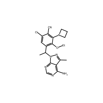 CCOc1c(C(C)n2nc(C)c3c(N)ncnc32)cc(Cl)c(C#N)c1N1CCC1